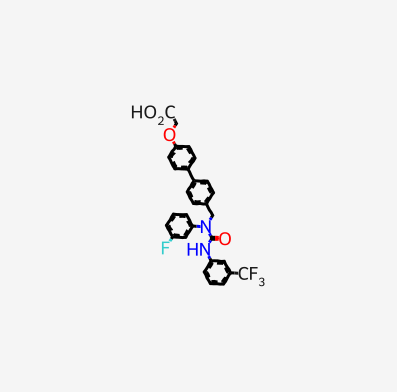 O=C(O)COc1ccc(-c2ccc(CN(C(=O)Nc3cccc(C(F)(F)F)c3)c3cccc(F)c3)cc2)cc1